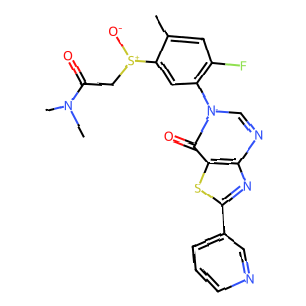 Cc1cc(F)c(-n2cnc3nc(-c4cccnc4)sc3c2=O)cc1[S+]([O-])CC(=O)N(C)C